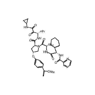 C=C(OC)c1ccc(O[C@@H]2C[C@@H](C(=O)N[C@@H](CCC)C(=O)C(=O)NC3CC3)N(C(=O)[C@@H](NC(=O)[C@@H](NC(=O)c3cnccn3)C3CCCCC3)C(C)(C)C)C2)cc1